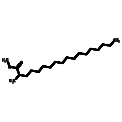 CCCCCCCCCCCCCCCCC(C)C(=S)OC